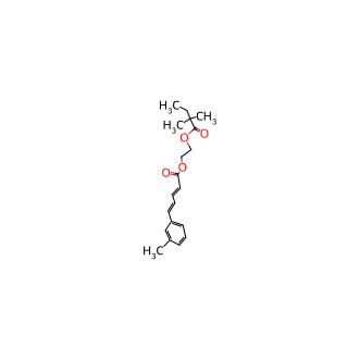 CCC(C)(C)C(=O)OCCOC(=O)/C=C/C=C/c1cccc(C)c1